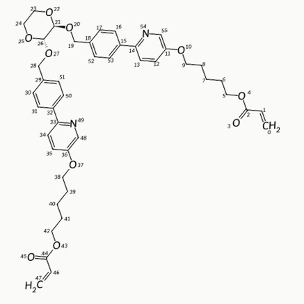 C=CC(=O)OCCCCCOc1ccc(-c2ccc(CO[C@@H]3OCCO[C@H]3OCc3ccc(-c4ccc(OCCCCCOC(=O)C=C)cn4)cc3)cc2)nc1